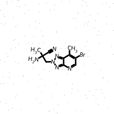 Cc1c(Br)cnc2nn(CC(C)(N)C#N)nc12